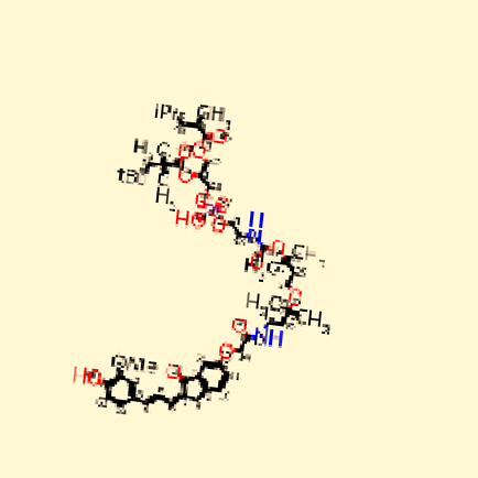 COc1cc(/C=C/C=C2/Cc3ccc(OCC(=O)NCCC(C)(C)OCCC(C)(C)OC(=O)NCCOP(=O)(O)OCC(COC(=O)C(C)CC(C)C)OC(=O)C(C)(C)CC(C)(C)C)cc3C2=O)ccc1O